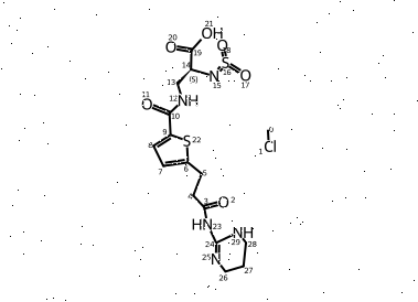 CCl.O=C(CCc1ccc(C(=O)NC[C@H](N=S(=O)=O)C(=O)O)s1)NC1=NCCCN1